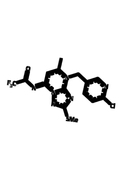 CSc1nc2n(Cc3ccc(Cl)nc3)c(C)c/c(=N\C(=O)C(F)(F)F)n2n1